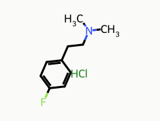 CN(C)CCc1ccc(F)cc1.Cl